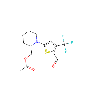 CC(=O)OCC1CCCCN1c1cc(C(F)(F)F)c(C=O)s1